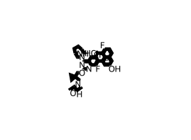 C#Cc1c(F)ccc2cc(O)cc(-c3c(C)cc4c(N5CC6CCC(C5)N6)nc(OCC5(CN6C[C@H]7OCC76)CC5)nc4c3F)c12